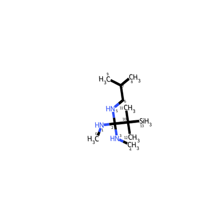 CNC(NC)(NCC(C)C)C(C)(C)[SiH3]